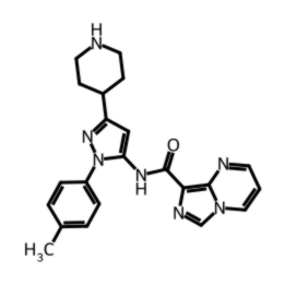 Cc1ccc(-n2nc(C3CCNCC3)cc2NC(=O)c2ncn3cccnc23)cc1